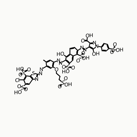 Cc1cc(N=Nc2c(S(=O)(=O)O)cc3c(S(=O)(=O)O)c(N=Nc4c(C(=O)O)nn(-c5ccc(S(=O)(=O)O)cc5)c4O)ccc3c2O)c(OCCCS(=O)(=O)O)cc1N=Nc1nc2cc(S(=O)(=O)O)c(Cl)c(S(=O)(=O)O)c2s1